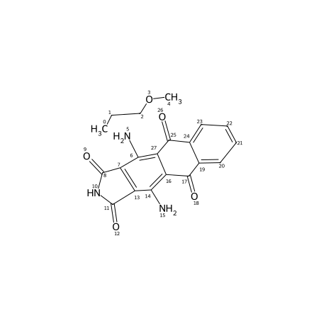 CCCOC.Nc1c2c(=O)[nH]c(=O)c2c(N)c2c(=O)c3ccccc3c(=O)c12